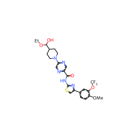 CCOC(O)C1CCN(c2cnc(C(=O)Nc3nc(-c4ccc(OC)c(OC(F)(F)F)c4)cs3)cn2)CC1